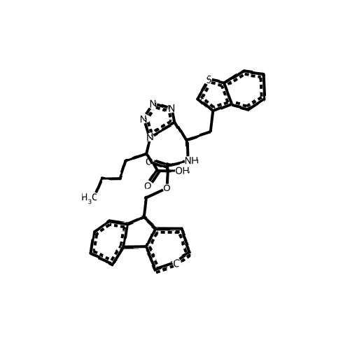 CCCCC(C(=O)O)n1nnnc1C(Cc1csc2ccccc12)NC(=O)OCC1c2ccccc2-c2ccccc21